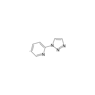 [c]1ccc(-n2ccnn2)nc1